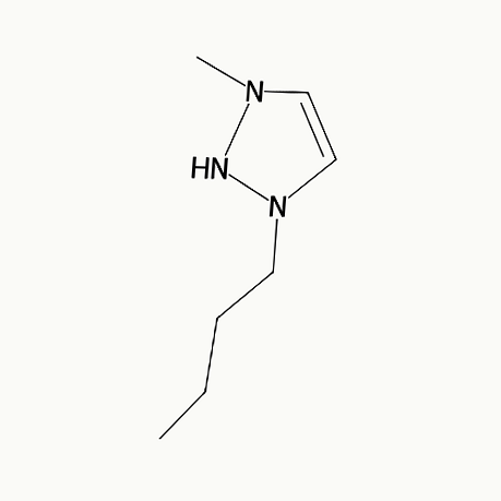 CCCCN1C=CN(C)N1